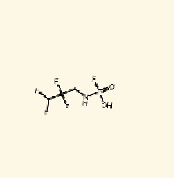 O=P(O)(F)NCC(F)(F)C(F)F